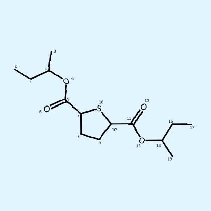 CCC(C)OC(=O)C1CCC(C(=O)OC(C)CC)S1